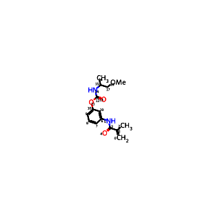 C=C(C)C(=O)Nc1cccc(OC(=O)NC(C)COC)c1